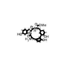 COC(=O)[C@@H]1CC2C=C(C(O)=CC2)c2cc(ccc2O)C[C@H](N)C(=O)N[C@@H](CC2=CCC(O)C=C2)C(=O)N1